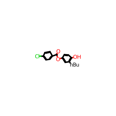 CCCCc1cc(OC(=O)c2ccc(Cl)cc2)ccc1O